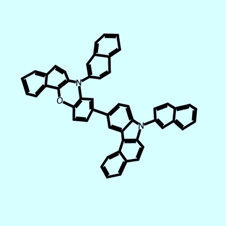 c1ccc2cc(N3c4cc(-c5ccc6c(c5)c5c7ccccc7ccc5n6-c5ccc6ccccc6c5)ccc4Oc4c3ccc3ccccc43)ccc2c1